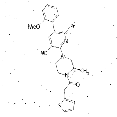 COc1ccccc1-c1cc(C#N)c(N2CCN(C(=O)Cc3cccs3)[C@H](C)C2)nc1C(C)C